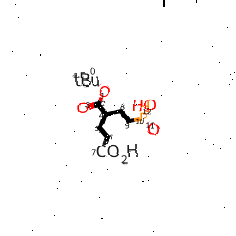 CC(C)(C)OC(=O)C(CCC(=O)O)CC[PH](=O)O